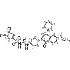 CNc1ccc2c(=O)n(-c3ccc(NC(=O)NS(=O)(=O)c4cc(Cl)c(Cl)s4)cc3)cc(-c3ccncc3)c2c1